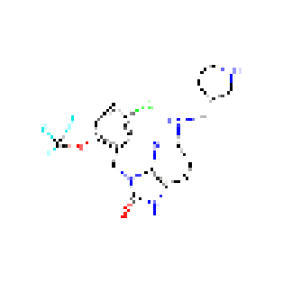 O=c1[nH]c2ccc(NC[C@@H]3CCNC3)nc2n1Cc1cc(Cl)ccc1OC(F)(F)F